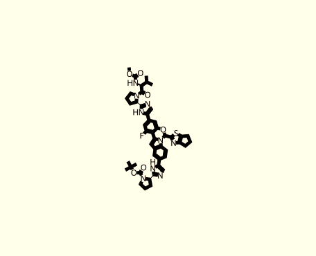 COC(=O)N[C@H](C(=O)N1CCC[C@H]1c1ncc(-c2cc(F)c3c(c2)OC(c2nc4c(s2)CCC4)n2c-3cc3cc(-c4cnc([C@@H]5CCCN5C(=O)OC(C)(C)C)[nH]4)ccc32)[nH]1)C(C)C